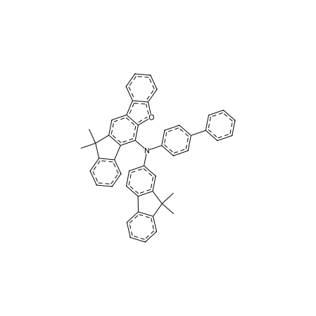 CC1(C)c2ccccc2-c2ccc(N(c3ccc(-c4ccccc4)cc3)c3c4c(cc5c3oc3ccccc35)C(C)(C)c3ccccc3-4)cc21